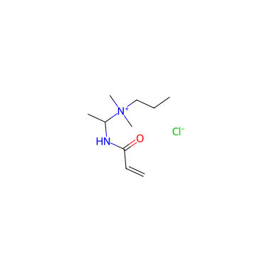 C=CC(=O)NC(C)[N+](C)(C)CCC.[Cl-]